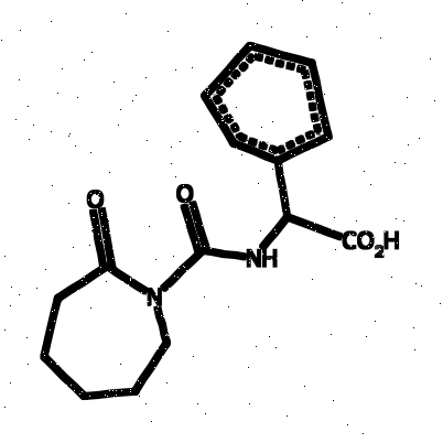 O=C(O)C(NC(=O)N1CCCCCC1=O)c1ccccc1